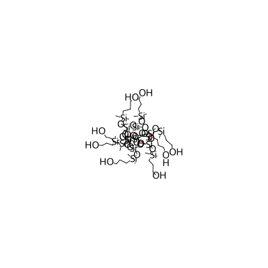 C[Si](C)(CCCO)O[Si]12O[Si]3(O[Si](C)(C)CCCO)O[Si](O[Si](C)(C)CCCO)(O1)O[Si]1(O[Si](C)(C)CCCO)O[Si]4(O[Si](C)(C)CCCO)O[Si](O[Si](C)(C)CCCO)(O1)O[Si](O[Si](C)(C)CCCO)(O3)O[Si](O[Si](C)(C)CCCO)(O2)O4